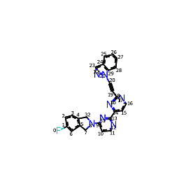 Fc1ccc2c(c1)CN(c1ccnc(-c3ccnc(C#Cn4ncc5ccccc54)n3)n1)C2